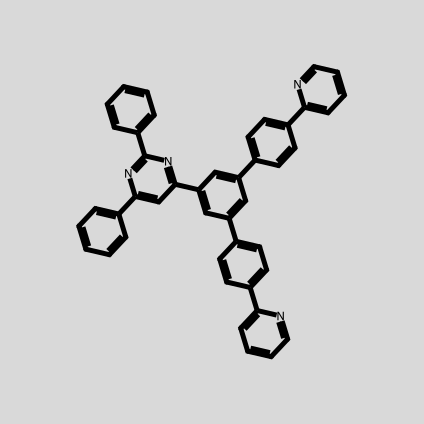 c1ccc(-c2cc(-c3cc(-c4ccc(-c5ccccn5)cc4)cc(-c4ccc(-c5ccccn5)cc4)c3)nc(-c3ccccc3)n2)cc1